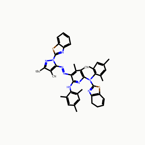 Cc1cc(C)c(Nc2nc(N(c3nc4c(s3)C=CCC4)c3c(C)cc(C)cc3C)c(C#N)c(C)c2N=Nc2c(C#N)c(C(C)(C)C)nn2-c2nc3ccccc3s2)c(C)c1